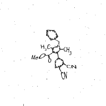 COC(=O)c1c(-c2ccc(C#N)c(C#N)c2)c(C)n(Cc2ccccc2)c1C